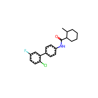 CC1CCCCC1C(=O)Nc1ccc(-c2cc(F)ccc2Cl)cc1